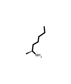 CCCCC[C@H](C)N